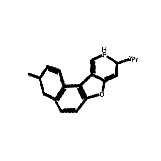 CC1C=Cc2c(ccc3oc4c(c23)=CPC(C(C)C)C=4)C1